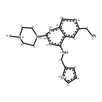 CC(C)Cc1cc2c(NCc3ccco3)nc(N3CCN(I)CC3)nc2cn1